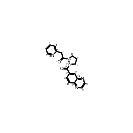 O=C(Cc1ccccn1)N1CCCN1C(=O)c1ccc2nccnc2c1